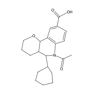 CC(=O)N1c2ccc(C(=O)O)cc2C2OCCCC2C1C1CCCCC1